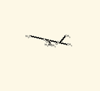 CCCCCCCCCCCCOCC(O)CN(CCCCCC(=O)OCC(CCCCCC)CCCCCCCC)CCN(C)C